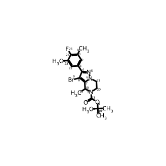 Cc1cc(-c2nn3c(c2Br)C(C)N(C(=O)OC(C)(C)C)CC3)cc(C)c1F